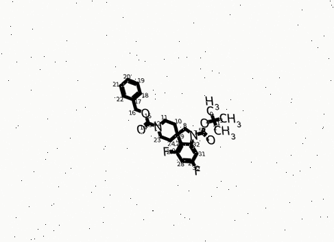 CC(C)(C)OC(=O)N1CC2(CCN(C(=O)OCc3ccccc3)CC2)c2c(F)cc(F)cc21